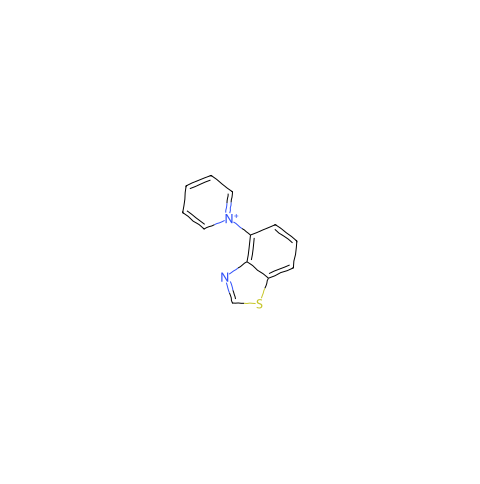 c1cc[n+](-c2cccc3scnc23)cc1